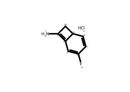 Cl.NC1=C2C=C(F)C=CC2C1